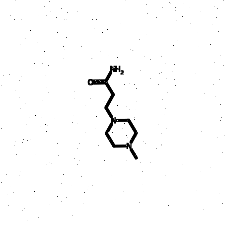 CN1CCN(CCC(N)=O)CC1